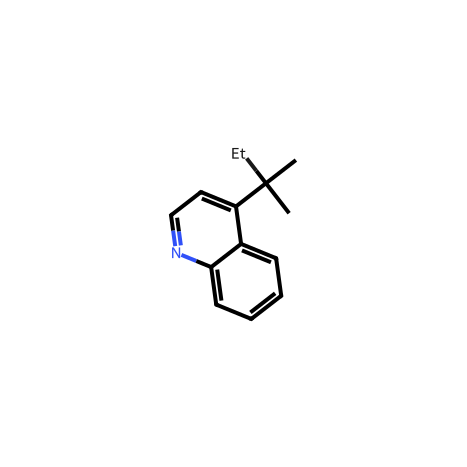 CCC(C)(C)c1ccnc2ccccc12